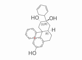 Oc1ccc2c(c1)CC[C@@H]1C[C@@](O)(C3C=CC=CC3)[C@@H](O)CC21c1ccccc1